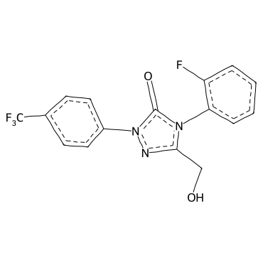 O=c1n(-c2ccc(C(F)(F)F)cc2)nc(CO)n1-c1ccccc1F